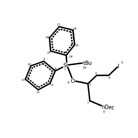 CCCCCCCCCCCC(CCI)O[Si](c1ccccc1)(c1ccccc1)C(C)(C)C